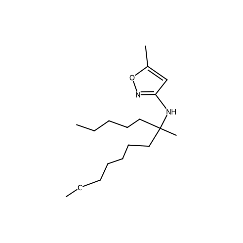 CCCCCCCC(C)(CCCCC)Nc1cc(C)on1